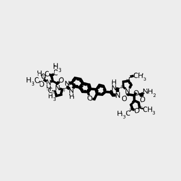 CC[C@H]1C[C@@H](c2ncc(-c3ccc4c(c3)COc3cc5c(ccc6nc([C@@H]7CC[C@H](C)N7C(=O)C(NC(=O)OC)C(C)C)[nH]c65)cc3-4)[nH]2)N(C(=O)C(OC(N)=O)C2C[C@@H](C)O[C@H](C)C2)C1